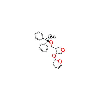 CC(C)(C)[Si](OCC1COCC1OC1C=CC=CO1)(c1ccccc1)c1ccccc1